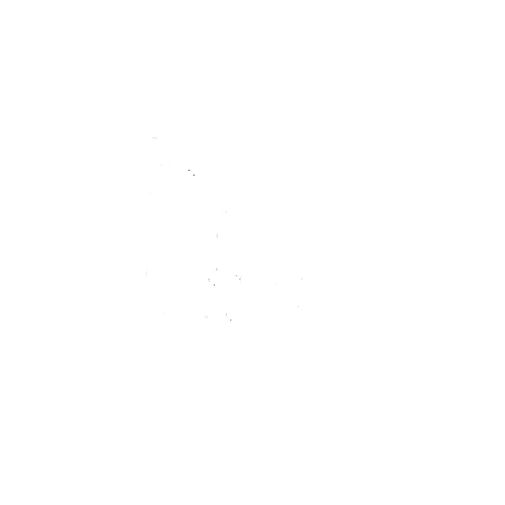 CCc1cc(C)c(-c2cc(C)c3c(c2)CC(=O)N3)n2nc(C3CC3)nc12